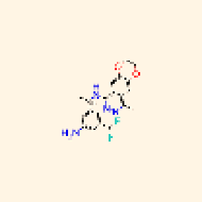 Cc1nnc(N[C@H](C)c2cc(N)cc(C(F)F)c2)c2cc3c(cc12)OCCO3